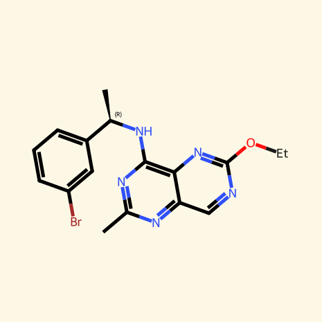 CCOc1ncc2nc(C)nc(N[C@H](C)c3cccc(Br)c3)c2n1